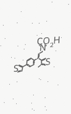 Cc1cscc1/C(=C\CN(C)CC(=O)O)c1ccc(-c2ccsc2)cc1